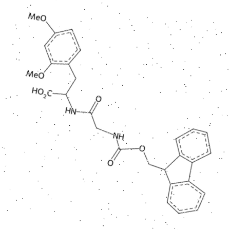 COc1ccc(CC(NC(=O)CNC(=O)OCC2c3ccccc3-c3ccccc32)C(=O)O)c(OC)c1